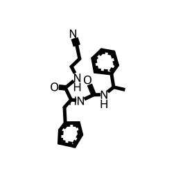 CC(NC(=O)NC(Cc1ccccc1)C(=O)NCCC#N)c1ccccc1